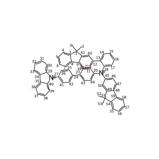 CC1(C)c2ccccc2-c2ccc(-c3ccccc3N(c3ccc(-c4ccc(-n5c6ccccc6c6ccccc65)cc4)cc3)c3ccc4c(c3)C(C)(C)c3ccccc3-4)cc21